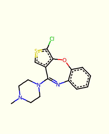 CN1CCN(C2=Nc3ccccc3Oc3c2csc3Cl)CC1